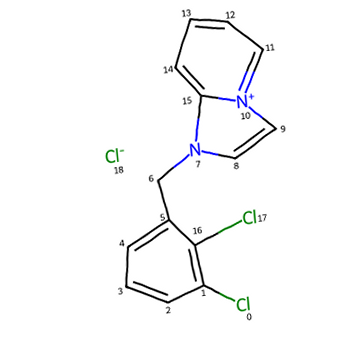 Clc1cccc(Cn2cc[n+]3ccccc23)c1Cl.[Cl-]